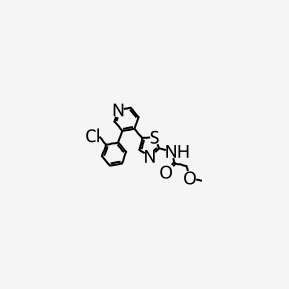 COCC(=O)Nc1ncc(-c2ccncc2-c2ccccc2Cl)s1